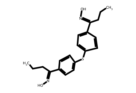 CCCC(=NO)c1ccc(Sc2ccc(C(CCC)=NO)cc2)cc1